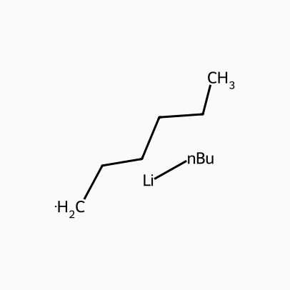 [CH2]CCCCC.[Li][CH2]CCC